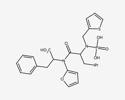 CC(C)CC(C(=O)N(c1ccco1)C(Cc1ccccc1)C(=O)O)N(Cc1cccs1)P(=O)(O)O